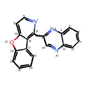 c1ccc2nc(-c3nccc4oc5ccccc5c34)cnc2c1